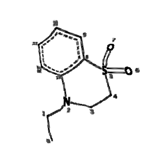 CCN1CCS(=O)(=O)c2ccccc21